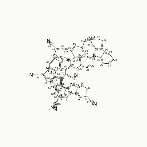 N#Cc1ccc2c(c1)c1cc(C#N)ccc1n2-c1nc(-c2ccc(-n3c4ccccc4c4ccccc43)cc2)c(-n2c3ccc(C#N)cc3c3cc(C#N)ccc32)c(-c2ccccc2-c2ccccc2)c1-n1c2ccc(C#N)cc2c2cc(C#N)ccc21